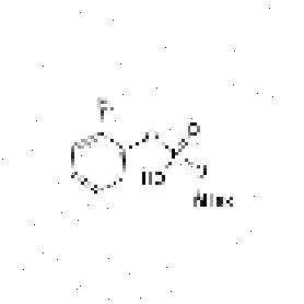 CCCCCCOP(=O)(O)Oc1ccccc1CC